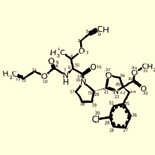 C#CCOC(C)[C@H](NC(=O)OCC=C)C(=O)N1CCC[C@H]1C1=N[C@@](Cc2cccc(Cl)c2)(C(=O)OC)CO1